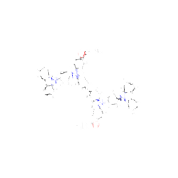 CCCCOc1ccc(N(c2ccc(-c3ccc(N(c4ccc(OCCCC)cc4)c4ccc(-n5c6ccccc6c6ccccc65)cc4)cc3)cc2)c2ccc(-n3c4ccccc4c4ccccc43)cc2)cc1